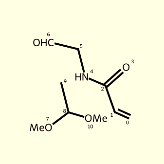 C=CC(=O)NCC=O.COC(C)OC